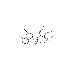 CC1=C[CH]([Zr]([CH]2C=C(C)c3c(C)ccc(C)c32)=[Si](C)C)c2c(C)ccc(C)c21